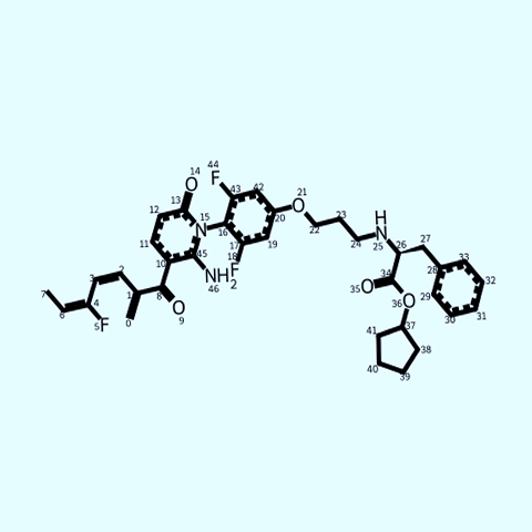 C=C(/C=C\C(F)=C/C)C(=O)c1ccc(=O)n(-c2c(F)cc(OCCCN[C@@H](Cc3ccccc3)C(=O)OC3CCCC3)cc2F)c1N